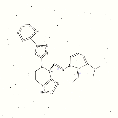 C/C=C1/C(C(C)C)=CC=CN1/N=C/[C@H]1c2nc[nH]c2CCN1c1nnc(-c2cnccn2)o1